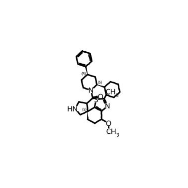 COC1CC[C@]2(CNCC2C(=O)N2CC[C@@H](c3ccccc3)C[C@H]2C2CCCCC2)c2sc(C)nc21